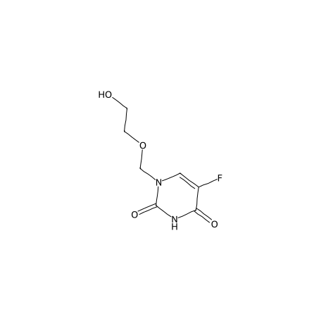 O=c1[nH]c(=O)n(COCCO)cc1F